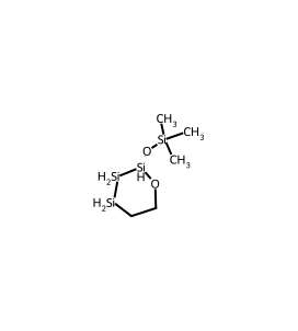 C[Si](C)(C)O[SiH]1OCC[SiH2][SiH2]1